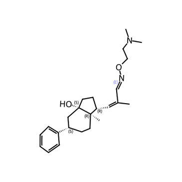 CC(=C[C@H]1CC[C@]2(O)C[C@@H](c3ccccc3)CC[C@]12C)/C=N/OCCN(C)C